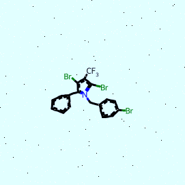 FC(F)(F)c1c(Br)c(-c2ccccc2)n(Cc2ccc(Br)cc2)c1Br